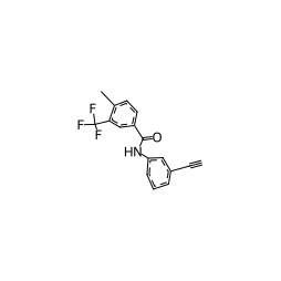 C#Cc1cccc(NC(=O)c2ccc(C)c(C(F)(F)F)c2)c1